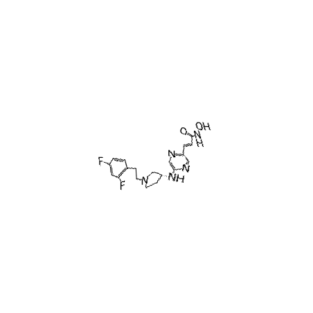 O=C(C=Cc1cnc(N[C@@H]2CCN(CCc3ccc(F)cc3F)C2)cn1)NO